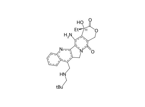 CC[C@@]1(O)C(=O)OCc2c1c(N)c1n(c2=O)Cc2c-1nc1ccccc1c2CNCC(C)(C)C